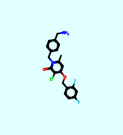 Cc1cc(OCc2ccc(F)cc2F)c(Cl)c(=O)n1Cc1ccc(CN)cc1